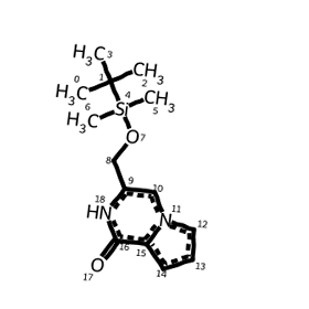 CC(C)(C)[Si](C)(C)OCc1cn2cccc2c(=O)[nH]1